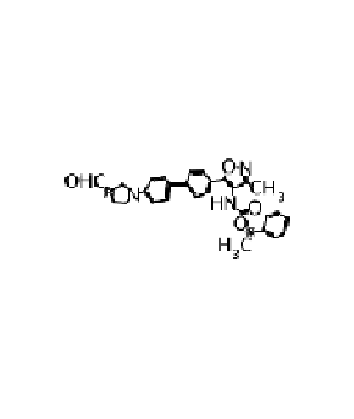 Cc1noc(-c2ccc(-c3ccc(N4CC[C@@H](C=O)C4)cc3)cc2)c1NC(=O)O[C@H](C)c1ccccc1